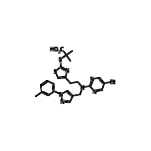 CCc1cnc(N(CCc2csc(SC(C)(C)C(=O)O)n2)Cc2cnn(-c3cccc(C)c3)c2)nc1